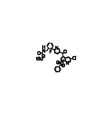 CC(C)(C)OC(=O)NCC1C=CC=CC1(F)c1ccc(C(=O)c2cn(S(=O)(=O)c3ccccc3)c3ncc(Cl)cc23)cn1